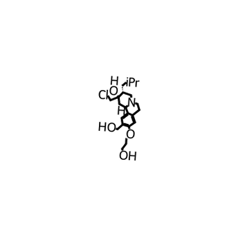 CC(C)C[C@@H]1CN2CCc3cc(OCCCO)c(CO)cc3[C@H]2CC1(O)CCl